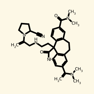 C=C(c1ccc2c(c1)CCc1cc(C(=O)N(C)C)ccc1C2(CCNCC(=C)N1CCCC1C#N)C(N)=O)N(C)C